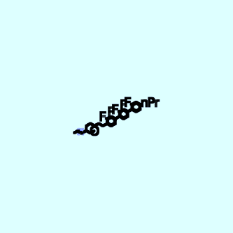 C/C=C/C1CCC(CCc2ccc(-c3ccc(-c4ccc(CCC)cc4F)c(F)c3F)c(F)c2F)OC1